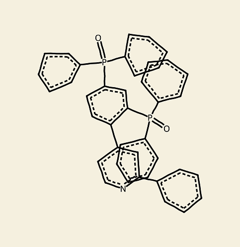 O=P(c1ccccc1)(c1ccccc1)c1ccc(-c2ccnc(-c3ccccc3)c2)c(P(=O)(c2ccccc2)c2ccccc2)c1